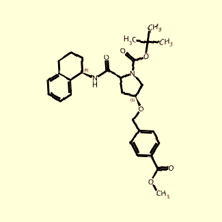 COC(=O)c1ccc(CO[C@H]2CC(C(=O)N[C@@H]3CCCc4ccccc43)N(C(=O)OC(C)(C)C)C2)cc1